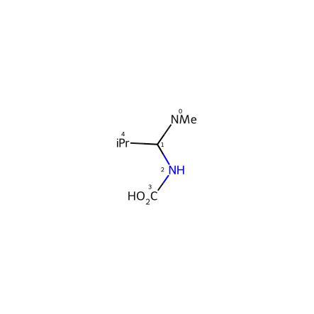 CNC(NC(=O)O)C(C)C